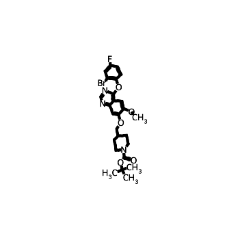 COc1cc2c(Oc3ccc(F)cc3Br)ncnc2cc1OCC1CCN(C(=O)OC(C)(C)C)CC1